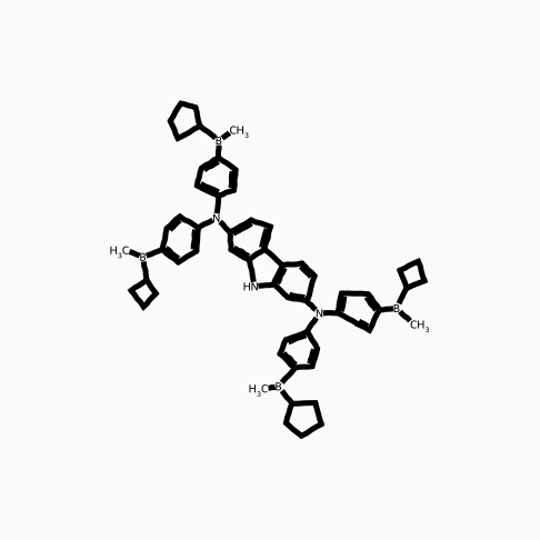 CB(c1ccc(N(c2ccc(B(C)C3CCC3)cc2)c2ccc3c(c2)[nH]c2cc(N(c4ccc(B(C)C5CCCC5)cc4)c4ccc(B(C)C5CCC5)cc4)ccc23)cc1)C1CCCC1